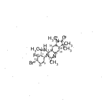 Cc1nc(N[C@H](C)c2cccc(Br)c2F)c2cc3c(cc2n1)C(C)(C)C(=O)N3C